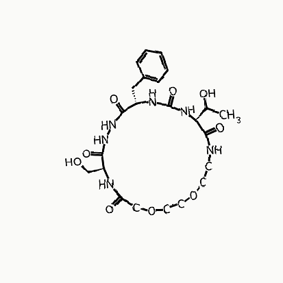 CC(O)[C@@H]1NC(=O)N[C@@H](Cc2ccccc2)C(=O)NNC(=O)[C@H](CO)NC(=O)COCCOCCNC1=O